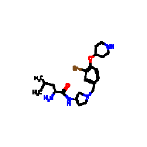 CC(C)C[C@H](N)C(=O)N[C@H]1CCN(Cc2ccc(OC3CCNCC3)c(Br)c2)C1